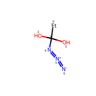 [CH2]CC(O)(O)N=[N+]=[N-]